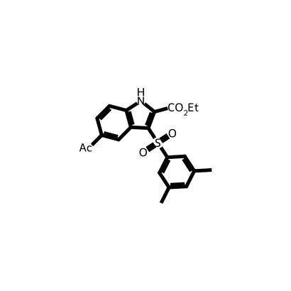 CCOC(=O)c1[nH]c2ccc(C(C)=O)cc2c1S(=O)(=O)c1cc(C)cc(C)c1